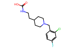 O=C(O)NCCC1CCN(Cc2ccc(F)cc2Cl)CC1